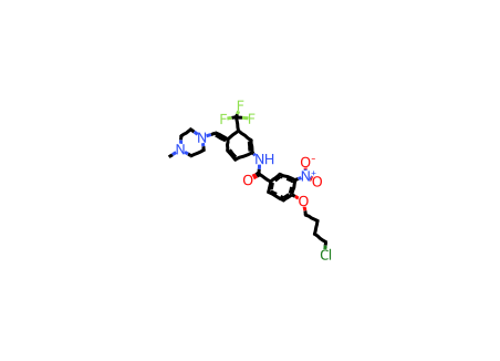 CN1CCN(C=C2C=CC(NC(=O)c3ccc(OCCCCCl)c([N+](=O)[O-])c3)=CC2C(F)(F)F)CC1